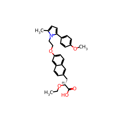 CCO[C@H](Cc1ccc2cc(OCCn3c(C)ccc3-c3ccc(OC)cc3)ccc2c1)C(=O)O